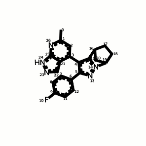 Cc1cc(-c2c(-c3ccc(F)cc3)nn3c2C2CCC3C2)c2cn[nH]c2n1